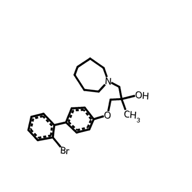 CC(O)(COc1ccc(-c2ccccc2Br)cc1)CN1CCCCCC1